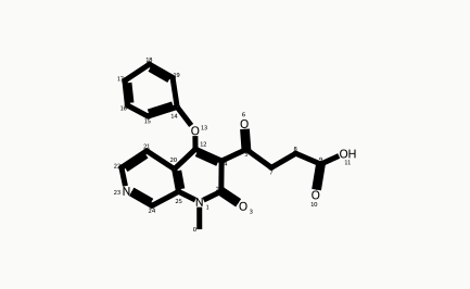 Cn1c(=O)c(C(=O)CCC(=O)O)c(Oc2ccccc2)c2ccncc21